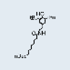 CCCCCCCCCCCCCCCCCC(=O)NCCc1cc(C(C)(C)C)c(O)c(C(C)(C)C)c1